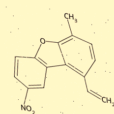 C=Cc1ccc(C)c2oc3ccc([N+](=O)[O-])cc3c12